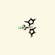 CC1=CC(C)=[C]([Hf+2]([C]2=C(C)C=C(C)C2)[SiH](C)C)C1.[Cl-].[Cl-]